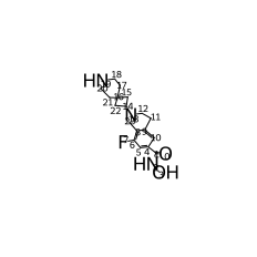 O=C(NO)c1cc(F)c2c(c1)CCN(C1CC3(CCNCC3)C1)C2